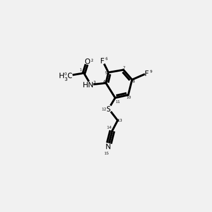 CC(=O)Nc1c(F)cc(F)cc1SCC#N